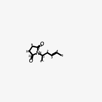 [CH2]C(CC=CC)N1C(=O)CCC1=O